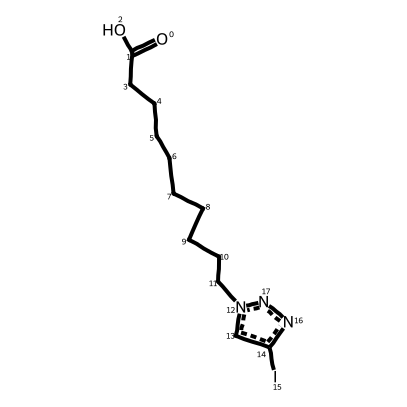 O=C(O)CCCCCCCCCn1cc(I)nn1